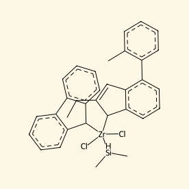 CCC1=Cc2c(-c3ccccc3C)cccc2[CH]1[Zr]([Cl])([Cl])([CH]1c2ccccc2-c2ccccc21)[SiH](C)C